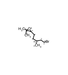 C[C@H](CCBr)CCC1OC1(C)C